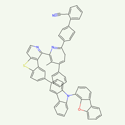 CC1=C(c2nccc3sc4ccc(-c5ccc6c(c5)c5ccccc5n6-c5cccc6c5oc5ccccc56)cc4c23)N=C(c2ccc(-c3ccccc3C#N)cc2)CC=C1c1ccccc1